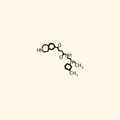 CCN(CCNC(=O)CCC(=O)c1ccc2c(c1)CCNCC2)c1cccc(C)c1